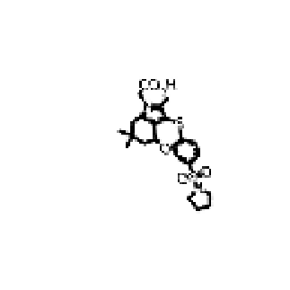 Cc1c(Sc2ccc(S(=O)(=O)N3CCCC3)cc2)c2c(n1CC(=O)O)CC(C)(C)CC2=O